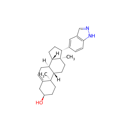 C[C@]12CC[C@H]3[C@@H](CC=C4C[C@H](O)CC[C@@]43C)[C@@H]1CC[C@@H]2c1ccc2[nH]ncc2c1